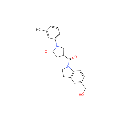 N#Cc1cccc(N2CC(C(=O)N3CCc4cc(CO)ccc43)CC2=O)c1